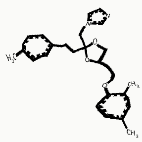 Cc1ccc(CCC2(Cn3ccnc3)OCC(COc3ccc(C)cc3C)O2)cc1